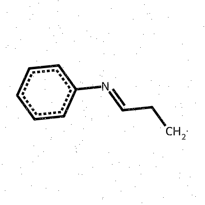 [CH2]CC=Nc1ccccc1